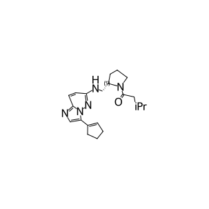 CC(C)CC(=O)N1CCC[C@H]1CNc1ccc2ncc(C3=CCCC3)n2n1